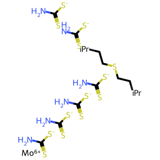 CC(C)CCSCCC(C)C.NC(=S)[S-].NC(=S)[S-].NC(=S)[S-].NC(=S)[S-].NC(=S)[S-].NC(=S)[S-].[Mo+6]